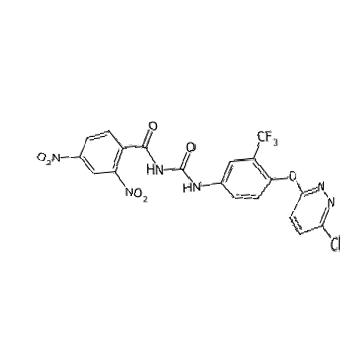 O=C(NC(=O)c1ccc([N+](=O)[O-])cc1[N+](=O)[O-])Nc1ccc(Oc2ccc(Cl)nn2)c(C(F)(F)F)c1